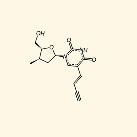 C#C/C=C/c1cn([C@H]2C[C@@H](C)[C@@H](CO)O2)c(=O)[nH]c1=O